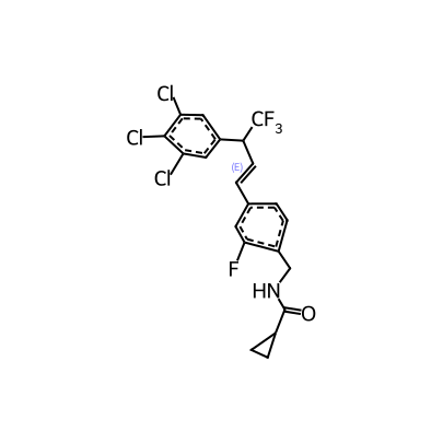 O=C(NCc1ccc(/C=C/C(c2cc(Cl)c(Cl)c(Cl)c2)C(F)(F)F)cc1F)C1CC1